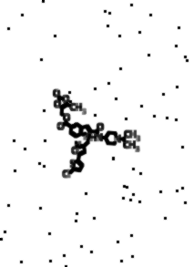 Cc1oc(=O)oc1COC(=O)c1ccc2c(c1)cc(C(=O)NC1CCN(C(C)C)CC1)n2Cc1cc(-c2ccc(Cl)s2)on1